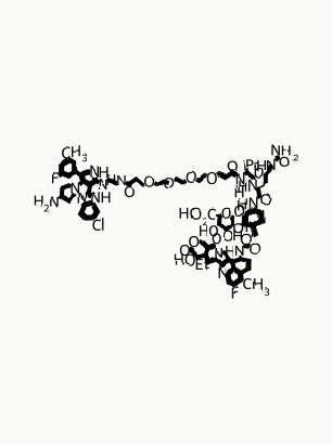 CC[C@@]1(O)C(=O)OCc2c1cc1n(c2=O)Cc2c-1nc1cc(F)c(C)c3c1c2[C@@H](NC(=O)OCc1ccc(NC(=O)[C@H](CCCNC(N)=O)NC(=O)[C@@H](NC(=O)CCOCCOCCOCCOCCC(=O)NCCNc2ncc(-c4cc(C)cc(F)c4)c(N4CCC(N)CC4)c2-c2nc4ccc(Cl)cc4[nH]2)C(C)C)c(O[C@@H]2O[C@H](C(=O)O)[C@@H](O)[C@H](O)[C@H]2O)c1)CC3